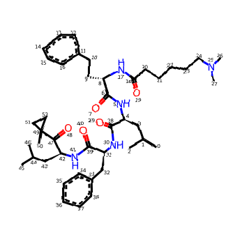 CC(C)C[C@H](NC(=O)[C@H](CCc1ccccc1)NC(=O)CCCCCN(C)C)C(=O)N[C@@H](Cc1ccccc1)C(=O)N[C@@H](CC(C)C)C(=O)C1(C)CC1